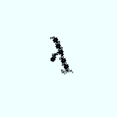 CC(C)(C)Oc1ccc(C(=O)Oc2ccc(C(=O)OCCc3ccc(OC(=O)c4ccc(OC(=O)c5ccc(O)cc5)cc4)c(/C=N/Nc4nc5ccccc5s4)c3)cc2)cc1